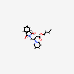 CCCCOC(=O)CC(CN1C(=O)c2ccccc2C1=O)N1CCCCC1